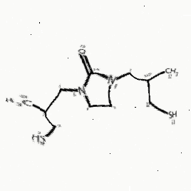 CC(CS)CN1CCN(CC(C)CS)C1=O